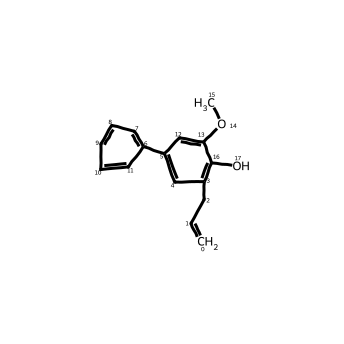 C=CCc1cc(-c2ccccc2)cc(OC)c1O